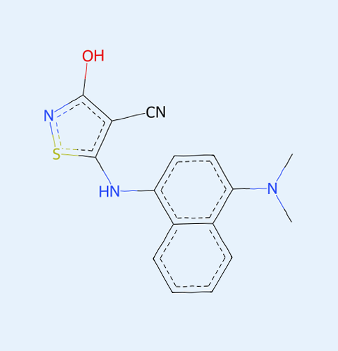 CN(C)c1ccc(Nc2snc(O)c2C#N)c2ccccc12